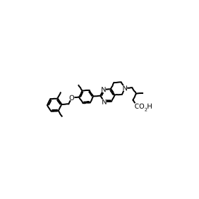 Cc1cc(-c2ncc3c(n2)CCN(CC(C)CC(=O)O)C3)ccc1OCc1c(C)cccc1C